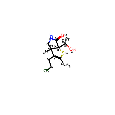 CC1=C(CCCl)[C@@H]2CNC(=O)[C@]2([C@@H](O)C(C)C)S1